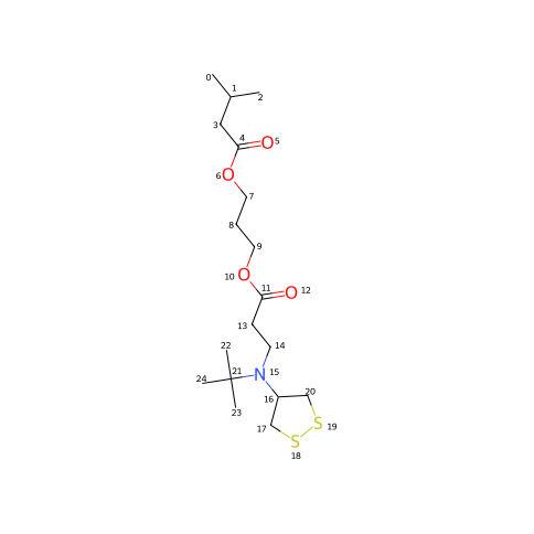 CC(C)CC(=O)OCCCOC(=O)CCN(C1CSSC1)C(C)(C)C